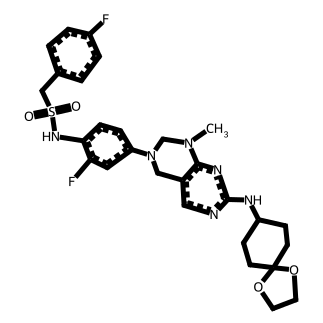 CN1CN(c2ccc(NS(=O)(=O)Cc3ccc(F)cc3)c(F)c2)Cc2cnc(NC3CCC4(CC3)OCCO4)nc21